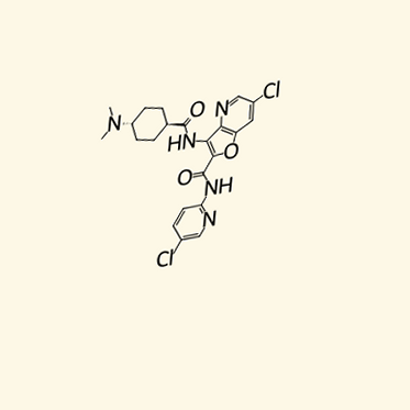 CN(C)[C@H]1CC[C@H](C(=O)Nc2c(C(=O)Nc3ccc(Cl)cn3)oc3cc(Cl)cnc23)CC1